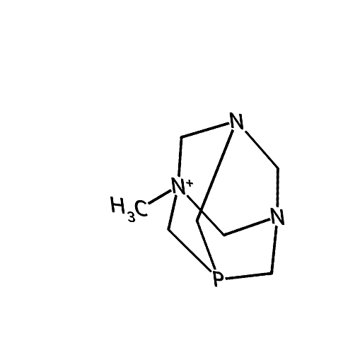 C[N+]12CN3CN(CP(C3)C1)C2